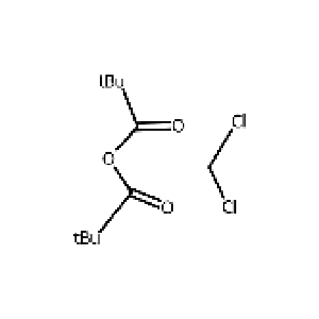 CC(C)(C)C(=O)OC(=O)C(C)(C)C.ClCCl